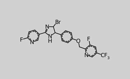 Fc1ccc(C2=NC(Br)C(c3ccc(OCc4ncc(C(F)(F)F)cc4F)cc3)N2)cn1